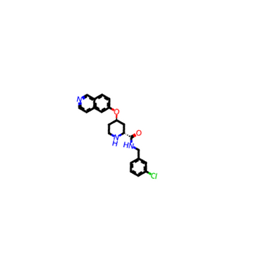 O=C(NCc1cccc(Cl)c1)[C@H]1C[C@H](Oc2ccc3cnccc3c2)CCN1